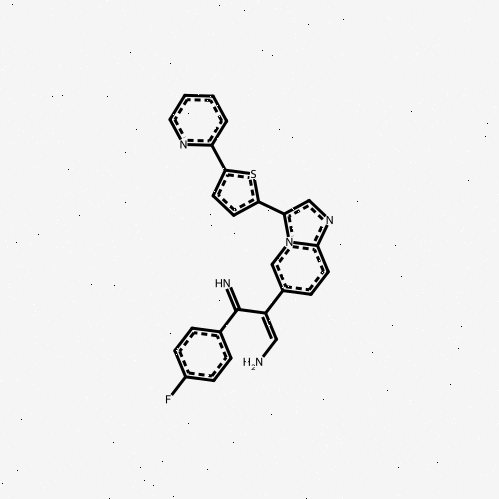 N=C(/C(=C\N)c1ccc2ncc(-c3ccc(-c4ccccn4)s3)n2c1)c1ccc(F)cc1